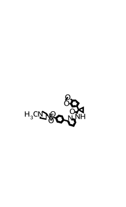 CN1CCN(S(=O)(=O)c2ccc(-c3cccc(NC(=O)C4(c5ccc6c(c5)OCO6)CC4)n3)cc2)CC1